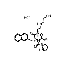 CC(C)(C)C(=O)N(C(=O)[C@@H]1CCCN1)[C@H](Cc1ccc2ccccc2c1)C(=O)NCCNCCO.Cl